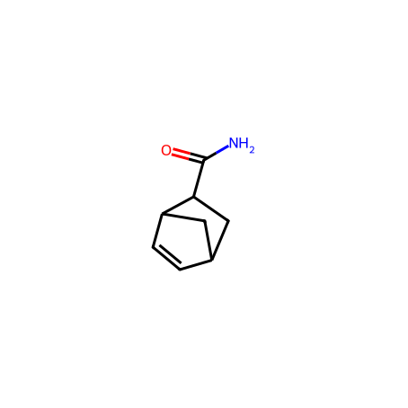 NC(=O)C1CC2C=CC1C2